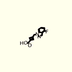 O=C(O)C12CC(Cn3ncc4c(F)cccc43)(C1)C2